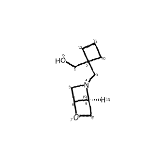 OCC1(CN2CC3OC[C@@H]32)CCC1